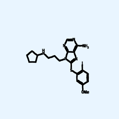 COc1ccc(I)c(Sc2nc3c(N)ncnc3n2CCCNC2CCCC2)c1